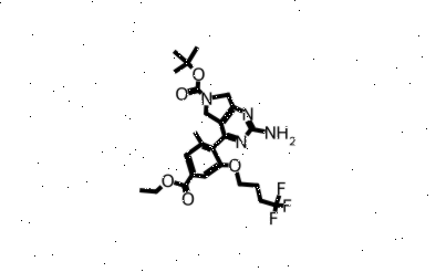 CCOC(=O)c1cc(C)c(-c2nc(N)nc3c2CN(C(=O)OC(C)(C)C)C3)c(OCCCC(F)(F)F)c1